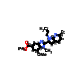 C=CCn1c(-c2nc3cc(C(=O)OC(C)C)cc(OC)c3n2C)cc2ccc(CC)nc21